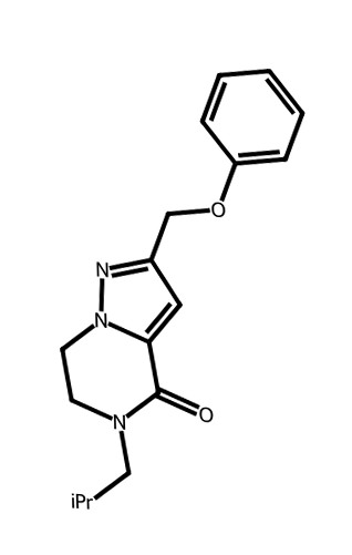 CC(C)CN1CCn2nc(COc3ccccc3)cc2C1=O